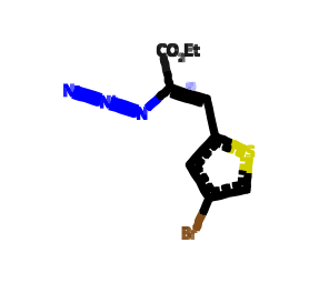 CCOC(=O)/C(=C/c1cc(Br)cs1)N=[N+]=[N-]